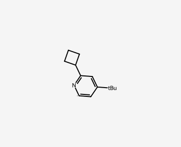 CC(C)(C)c1c[c]nc(C2CCC2)c1